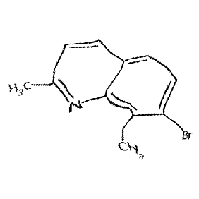 Cc1ccc2ccc(Br)c(C)c2n1